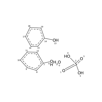 O.O=S(=O)(O)O.Oc1ccccc1.Oc1ccccc1